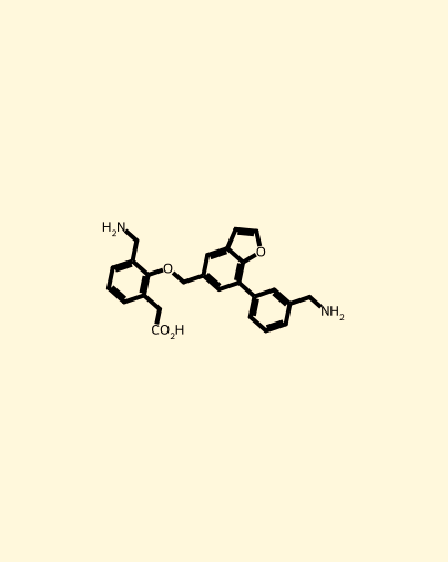 NCc1cccc(-c2cc(COc3c(CN)cccc3CC(=O)O)cc3ccoc23)c1